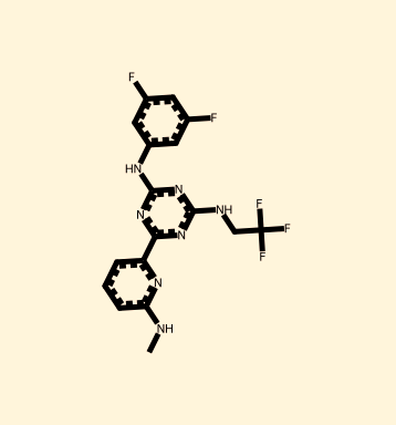 CNc1cccc(-c2nc(NCC(F)(F)F)nc(Nc3cc(F)cc(F)c3)n2)n1